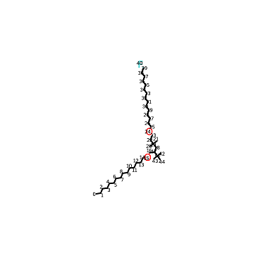 CCCCCCCCCCCCCCCOCC(CC(C)(C)CCOCCCCCCCCCCCCCCCF)C(C)(C)C